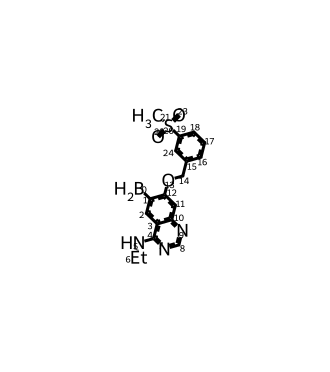 Bc1cc2c(NCC)ncnc2cc1OCc1cccc(S(C)(=O)=O)c1